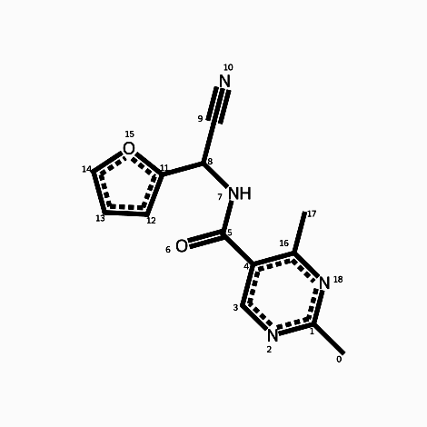 Cc1ncc(C(=O)NC(C#N)c2ccco2)c(C)n1